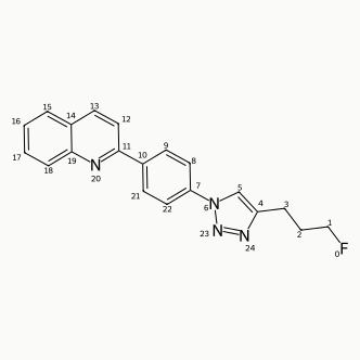 FCCCc1cn(-c2ccc(-c3ccc4ccccc4n3)cc2)nn1